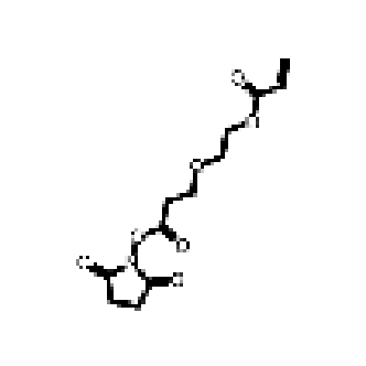 C=CC(=O)OCCOCCC(=O)ON1C(=O)CCC1=O